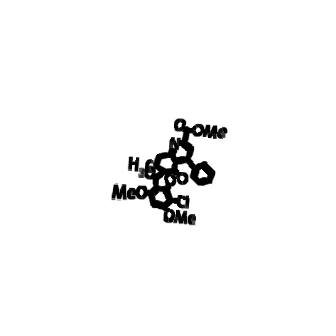 COC(=O)c1cc(-c2ccccc2)c2c(n1)CC(C)C1(Oc3c(Cl)c(OC)cc(OC)c3C1=O)C2=O